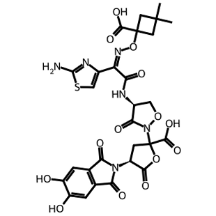 CC1(C)CC(O/N=C(\C(=O)N[C@H]2CON(C3(C(=O)O)C[C@H](N4C(=O)c5cc(O)c(O)cc5C4=O)C(=O)O3)C2=O)c2csc(N)n2)(C(=O)O)C1